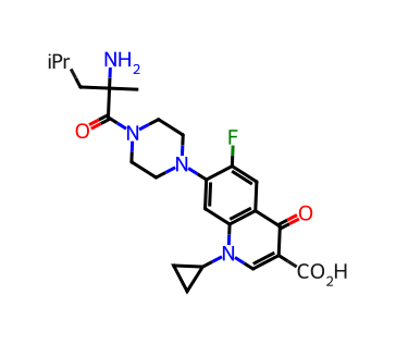 CC(C)CC(C)(N)C(=O)N1CCN(c2cc3c(cc2F)c(=O)c(C(=O)O)cn3C2CC2)CC1